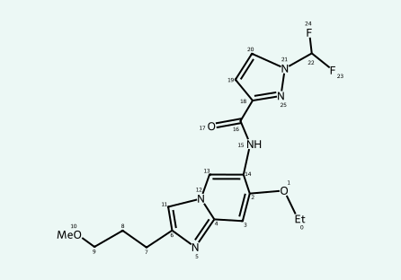 CCOc1cc2nc(CCCOC)cn2cc1NC(=O)c1ccn(C(F)F)n1